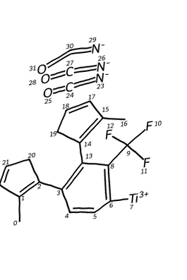 CC1=C(c2cc[c]([Ti+3])c(C(F)(F)F)c2C2=C(C)C=CC2)CC=C1.[N-]=C=O.[N-]=C=O.[N-]=C=O